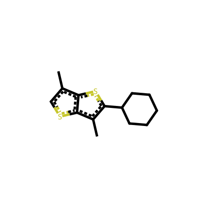 Cc1csc2c(C)c(C3CCCCC3)sc12